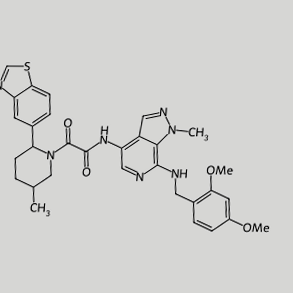 COc1ccc(CNc2ncc(NC(=O)C(=O)N3CC(C)CCC3c3ccc4scnc4c3)c3cnn(C)c23)c(OC)c1